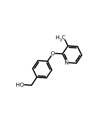 Cc1cccnc1Oc1ccc(CO)cc1